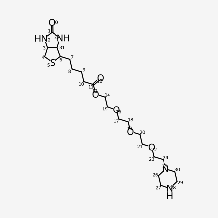 O=C1NC2CSC(CCCCC(=O)OCCOCCOCCOCCN3CCNCC3)C2N1